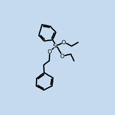 CCO[Si](OCC)(OCCc1ccccc1)c1ccccc1